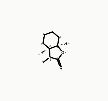 CN1C(=O)O[C@@H]2CCCC[C@@H]21